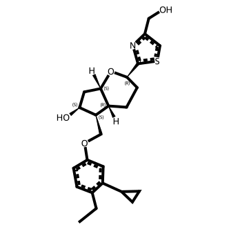 CCc1ccc(OC[C@@H]2[C@H]3CC[C@H](c4nc(CO)cs4)O[C@H]3C[C@@H]2O)cc1C1CC1